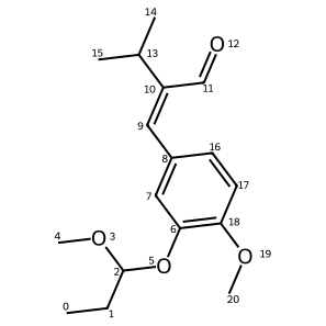 CCC(OC)Oc1cc(/C=C(\C=O)C(C)C)ccc1OC